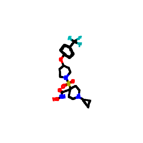 O=C(NO)C1(S(=O)(=O)N2CCC(Oc3ccc(C(F)(F)F)cc3)CC2)CCN(C2CC2)CC1